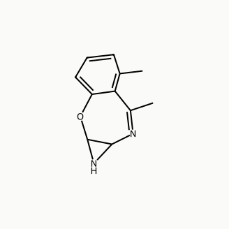 CC1=NC2NC2Oc2cccc(C)c21